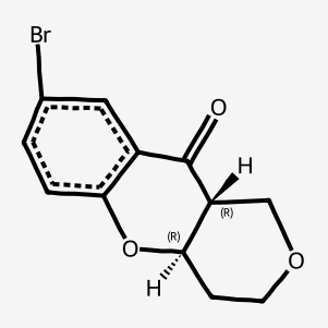 O=C1c2cc(Br)ccc2O[C@@H]2CCOC[C@@H]12